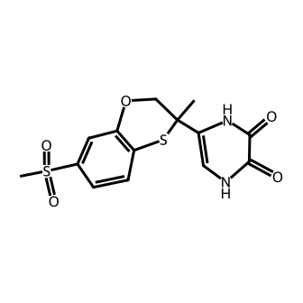 CC1(c2c[nH]c(=O)c(=O)[nH]2)COc2cc(S(C)(=O)=O)ccc2S1